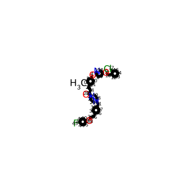 Cc1cc(Oc2ccc(OCc3ccccc3Cl)cn2)ccc1C=CC(=O)N1CCN(Cc2ccc(CCOc3ccc(F)cc3)cc2)CC1